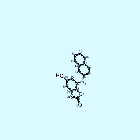 O=c1oc2c(Sc3ccc4ccccc4c3)cc(O)cc2s1